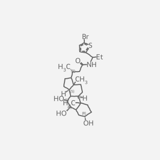 CCC(NC(=O)C[C@@H](C)C1CC[C@H]2C3[C@H](O)[C@H](O)C4C[C@H](O)CCC4(C)[C@H]3CCC12C)c1ccc(Br)s1